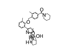 Cc1cc(C(=O)N2CCCCC2)ccc1COc1c(C)cccc1-c1csc(N2CC3CC[C@@H](C2)[C@H]3C(=O)O)n1